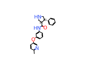 Cc1ccc(Oc2cccc(NC(=O)[C@H]3CNC[C@@H]3c3ccccc3)c2)cn1